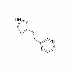 c1cnc(CNc2cc[nH]c2)cn1